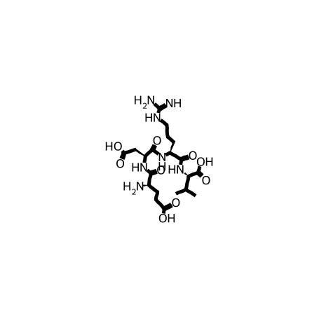 CC(C)[C@H](NC(=O)[C@H](CCCNC(=N)N)NC(=O)[C@H](CC(=O)O)NC(=O)[C@@H](N)CCC(=O)O)C(=O)O